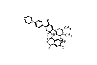 C[C@@H]1CN(C2=CC(F)=C(c3ccc(N4CCOCC4)cc3)CC2(F)NC(=O)c2c[nH]c(=O)cc2C(F)F)C[C@H](C)N1C